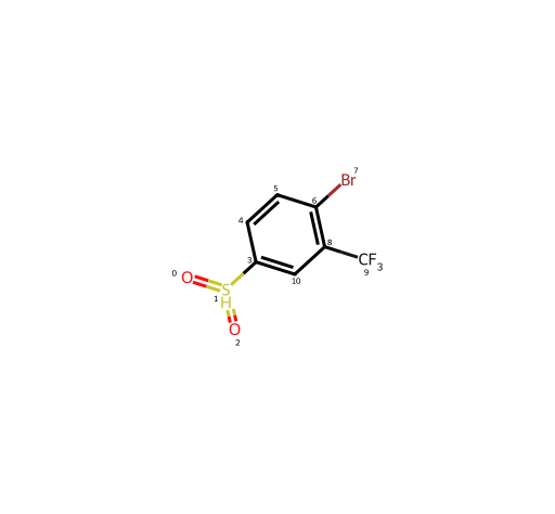 O=[SH](=O)c1ccc(Br)c(C(F)(F)F)c1